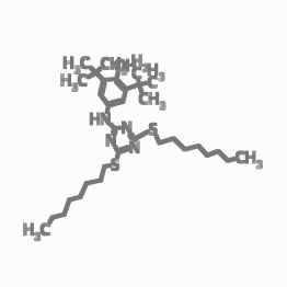 CCCCCCCCSc1nc(Nc2cc(C(C)(C)C)c(O)c(C(C)(C)C)c2)nc(SCCCCCCCC)n1